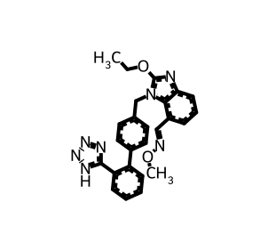 CCOc1nc2cccc(C=NOC)c2n1Cc1ccc(-c2ccccc2-c2nnn[nH]2)cc1